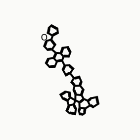 c1ccc2c(c1)-c1ccccc1C21c2cc3cc(-c4ccc(-c5c6ccccc6c(-c6ccc7oc8ccccc8c7c6)c6ccccc56)cc4)ccc3cc2-c2c1c1ccccc1c1ccccc21